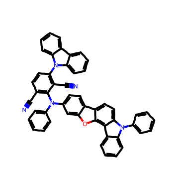 N#Cc1ccc(-n2c3ccccc3c3ccccc32)c(C#N)c1N(c1ccccc1)c1ccc2c(c1)oc1c2ccc2c1c1ccccc1n2-c1ccccc1